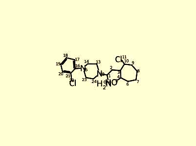 NC(CC1C(O)CCCCC1Cl)N1CCN(c2ccccc2Cl)CC1